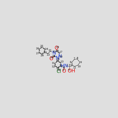 O=C(NC(O)C1CCCCCC1)c1cc(-n2ncc(=O)n(CCc3ccccc3)c2=O)ccc1Cl